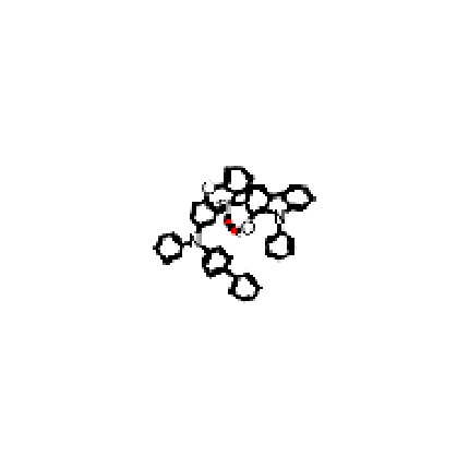 c1ccc(-c2ccc(N(c3ccccc3)c3ccc4c(c3)[Si]3(c5ccccc5O4)c4ccccc4Oc4c3ccc3c5ccccc5n(-c5ccccc5)c43)cc2)cc1